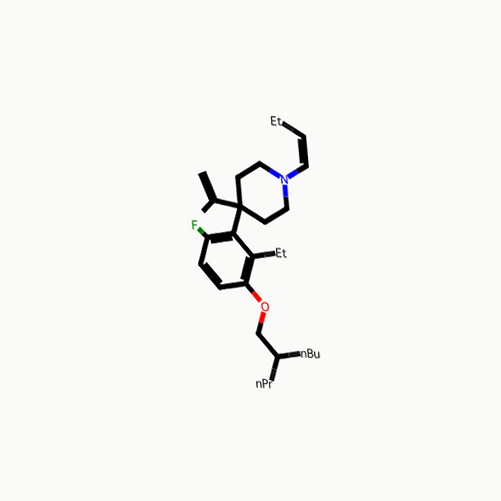 C=C(C)C1(c2c(F)ccc(OCC(CCC)CCCC)c2CC)CCN(/C=C\CC)CC1